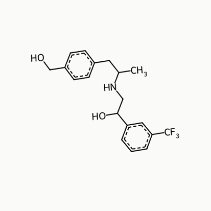 CC(Cc1ccc(CO)cc1)NCC(O)c1cccc(C(F)(F)F)c1